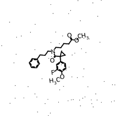 COC(=O)CCCCN(CCCc1ccccc1)C(=O)C1(c2ccc(OC)c(F)c2)CC1